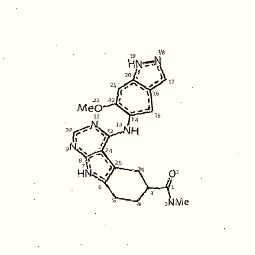 CNC(=O)C1CCc2[nH]c3ncnc(Nc4cc5cn[nH]c5cc4OC)c3c2C1